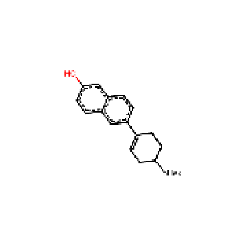 CCCCCCC1CC=C(c2ccc3cc(O)ccc3c2)CC1